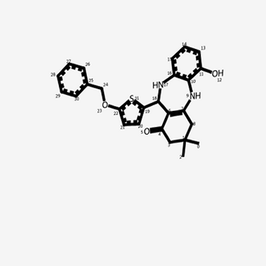 CC1(C)CC(=O)C2=C(C1)Nc1c(O)cccc1NC2c1ccc(OCc2ccccc2)s1